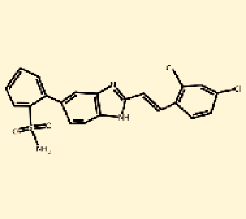 NS(=O)(=O)c1ccccc1-c1ccc2[nH]c(/C=C/c3ccc(Cl)cc3Cl)nc2c1